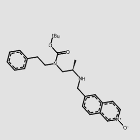 C[C@H](CN(CCc1ccccc1)C(=O)OC(C)(C)C)NCc1ccc2c[n+]([O-])ccc2c1